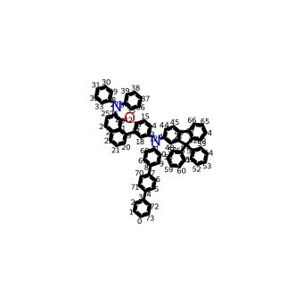 c1ccc(-c2ccc(-c3ccc(N(c4ccc5c(c4)-c4cccc6ccc(N(c7ccccc7)c7ccccc7)c(c46)O5)c4ccc5c(c4)C(c4ccccc4)(c4ccccc4)c4ccccc4-5)cc3)cc2)cc1